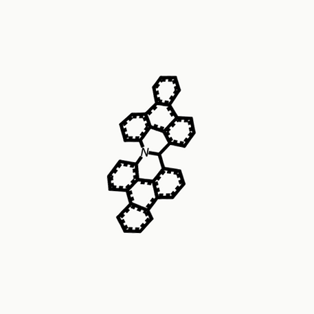 c1ccc2c(c1)c1cccc3c1c1c(cccc21)N1c2cccc4c5ccccc5c5cccc(c5c24)C31